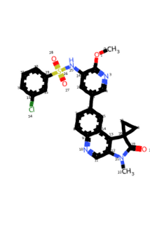 COc1ncc(-c2ccc3ncc4c(c3c2)C2(CC2)C(=O)N4C)cc1NS(=O)(=O)c1cccc(Cl)c1